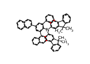 CC1(C)c2ccccc2-c2ccc(N(c3ccc4c(c3)C(C)(C)c3ccccc3-4)c3c(-c4ccccc4)cc(-c4ccc5ccccc5c4)cc3-c3cccc4ccccc34)cc21